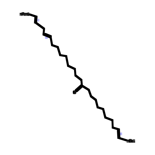 CCCCC/C=C/C/C=C/CCCCCCCCC(=O)CCCCCCCC/C=C/CCCCCCCC